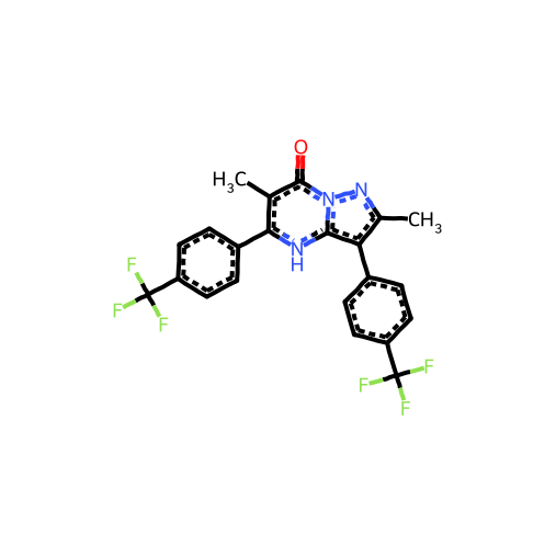 Cc1nn2c(=O)c(C)c(-c3ccc(C(F)(F)F)cc3)[nH]c2c1-c1ccc(C(F)(F)F)cc1